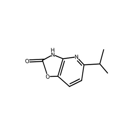 CC(C)c1ccc2oc(=O)[nH]c2n1